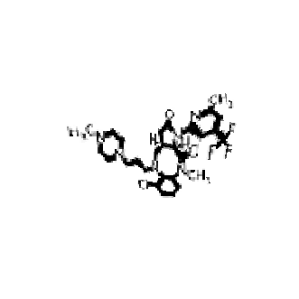 Cc1cc(C(F)(F)F)cc(N2C(=O)C[C@@H]3CN(CCCN4CCN(C)CC4)c4c(Cl)cccc4N(C)C(=O)[C@H]32)n1